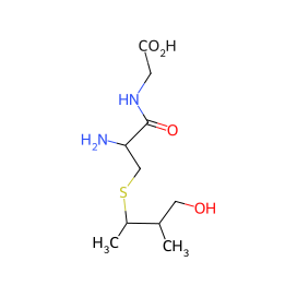 CC(CO)C(C)SCC(N)C(=O)NCC(=O)O